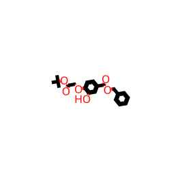 CC(C)(C)OC(=O)COc1ccc(C(=O)OCc2ccccc2)cc1O